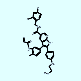 C=CC(=O)Nc1cc(-c2c(-c3ccc(NCCNC)cc3)[nH]c3ncc(C(=O)NCc4ccc(F)cc4F)cc23)ccc1C